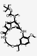 COc1ccc2cc1Nc1cc(N(C)C(=O)OC(C)(C)C)c3ncc(n3n1)C(=O)NCCOC2C